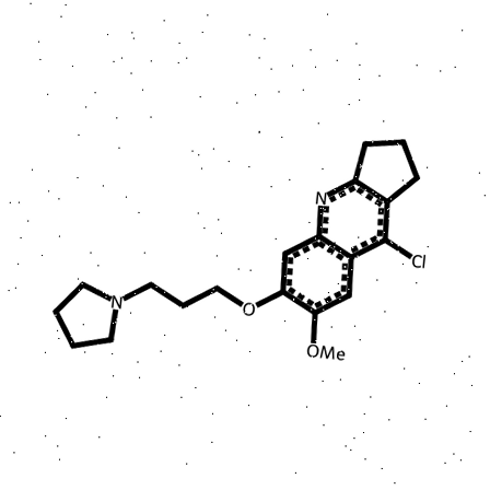 COc1cc2c(Cl)c3c(nc2cc1OCCCN1CCCC1)CCC3